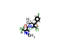 CC(Cc1c(-c2ccc(F)cc2)sc(Cl)c1Cl)NC(=O)c1cn(C)nc1C(F)(F)F